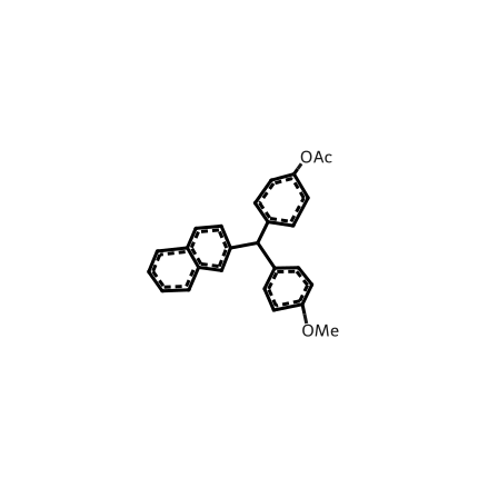 COc1ccc(C(c2ccc(OC(C)=O)cc2)c2ccc3ccccc3c2)cc1